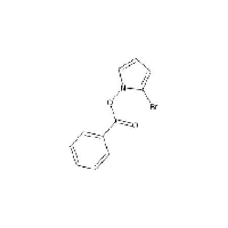 O=C(On1cccc1Br)c1ccccc1